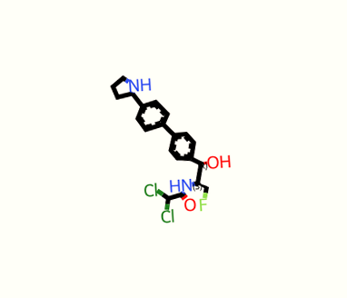 O=C(N[C@H](CF)[C@H](O)c1ccc(-c2ccc(C3CCCN3)cc2)cc1)C(Cl)Cl